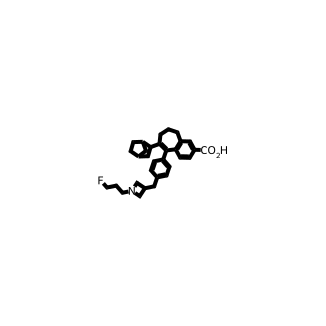 O=C(O)c1ccc2c(c1)CCCC(C1CC3CCC1C3)=C2c1ccc(CC2CN(CCCF)C2)cc1